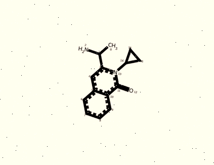 CC(N)c1cc2ccccc2c(=O)n1C1CC1